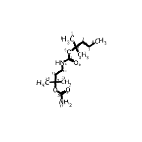 CCCC(C)(C)OC(=O)NCCC(C)(C)OC(N)=O